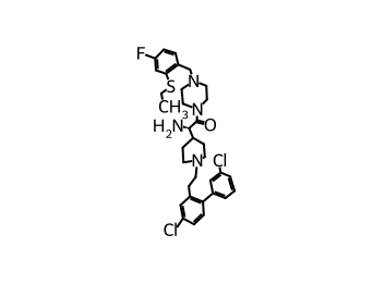 CCSc1cc(F)ccc1CN1CCN(C(=O)[C@H](N)C2CCN(CCc3cc(Cl)ccc3-c3cccc(Cl)c3)CC2)CC1